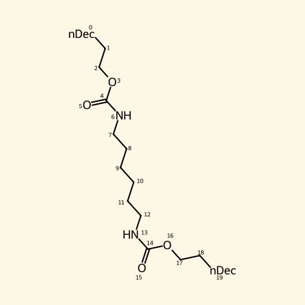 CCCCCCCCCCCCOC(=O)NCCCCCCNC(=O)OCCCCCCCCCCCC